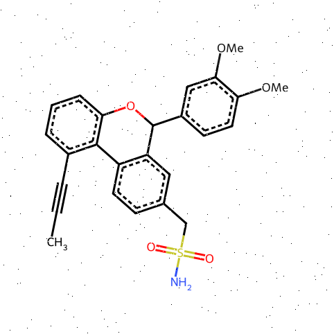 CC#Cc1cccc2c1-c1ccc(CS(N)(=O)=O)cc1C(c1ccc(OC)c(OC)c1)O2